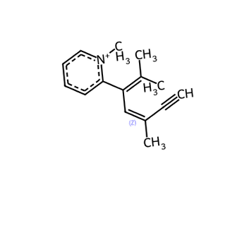 C#C/C(C)=C\C(=C(C)C)c1cccc[n+]1C